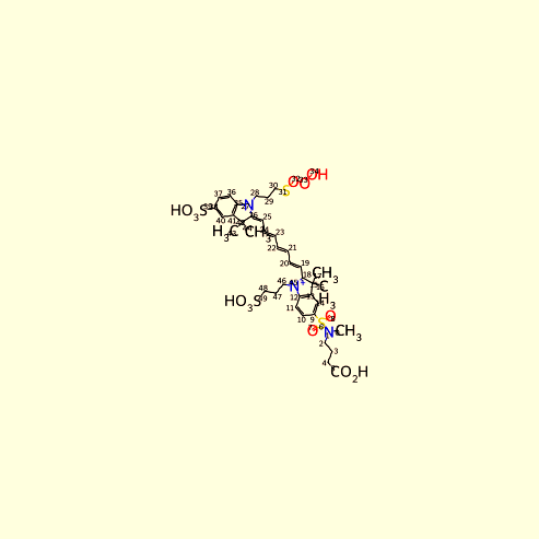 CN(CCCC(=O)O)S(=O)(=O)c1ccc2c(c1)C(C)(C)C(/C=C/C=C/C=C/C=C1/N(CCCSOOO)c3ccc(S(=O)(=O)O)cc3C1(C)C)=[N+]2CCCS(=O)(=O)O